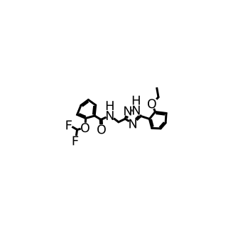 CCOc1ccccc1-c1nc(CNC(=O)c2ccccc2OC(F)F)n[nH]1